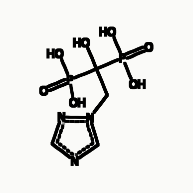 O=P(O)(O)C(O)(Cn1cncn1)P(=O)(O)O